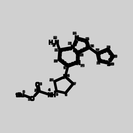 CC(C)(C)OC(=O)N[C@H]1CCN(c2cc(N)n3ncc(-c4ccsc4)c3n2)C1